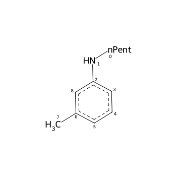 [CH2]CCCCNc1cccc(C)c1